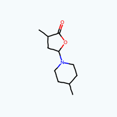 CC1CCN(C2CC(C)C(=O)O2)CC1